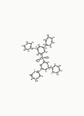 O=S(=O)(c1cc(-c2ccccc2)cc(-c2ccccc2)c1)c1cc(-c2ccccc2)cc(-c2ccccc2)c1